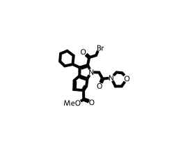 COC(=O)c1ccc2c(C3CCCCC3)c(C(=O)CBr)n(CC(=O)N3CCOCC3)c2c1